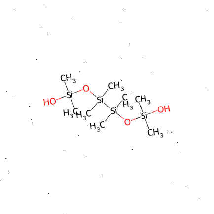 C[Si](C)(O)O[Si](C)(C)[Si](C)(C)O[Si](C)(C)O